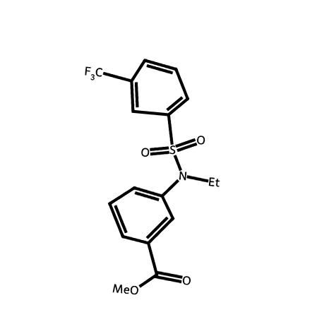 CCN(c1cccc(C(=O)OC)c1)S(=O)(=O)c1cccc(C(F)(F)F)c1